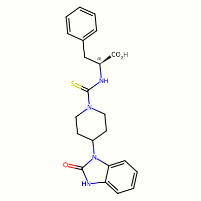 O=C(O)[C@H](Cc1ccccc1)NC(=S)N1CCC(n2c(=O)[nH]c3ccccc32)CC1